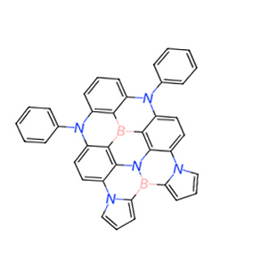 c1ccc(N2c3cccc4c3B3c5c2ccc2c5N5B(c6cccn6-2)c2cccn2-c2ccc(c3c25)N4c2ccccc2)cc1